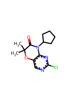 CC1(C)Oc2cnc(Cl)nc2N(C2CCCC2)C1=O